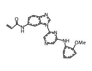 C=CC(=O)Nc1ccc2ncn(-c3cncc(Nc4ccccc4OC)n3)c2c1